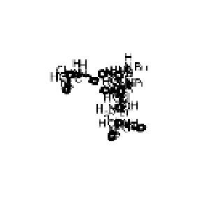 CC(C)(C)NC(=O)Nc1cc(Cl)c(O)c(-c2nc3ccccc3s2)c1.CC(C)NC(=S)Nc1cc(Cl)c(O)c(-c2nc3ccccc3s2)c1.Nc1cc(Br)c(O)c(Br)c1.O=C(NCCc1ccccc1)Nc1cc(Cl)c(O)c(-c2nc3ccccc3s2)c1.O=C(NCc1ccccc1)Nc1cc(Cl)c(O)c(-c2nc3ccccc3s2)c1